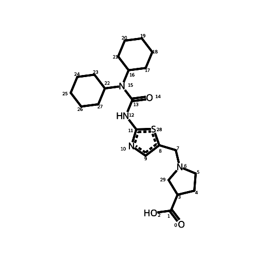 O=C(O)C1CCN(Cc2cnc(NC(=O)N(C3CCCCC3)C3CCCCC3)s2)C1